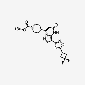 CC(C)(C)OC(=O)N1CCC(c2cc(=O)[nH]c3c(-c4noc(C5CC(F)(F)C5)n4)cnn23)CC1